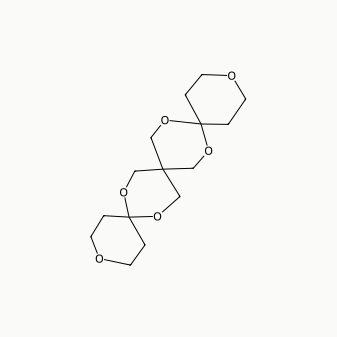 C1CC2(CCO1)OCC1(CO2)COC2(CCOCC2)OC1